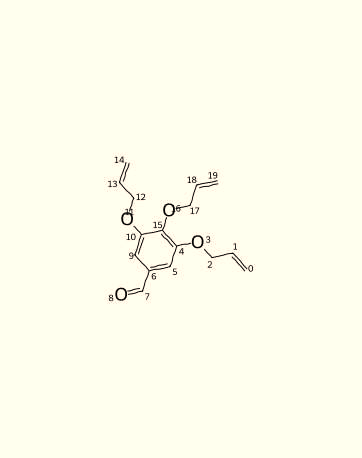 C=CCOc1cc(C=O)cc(OCC=C)c1OCC=C